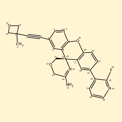 CC1(C#Cc2cnc3c(c2)[C@]2(COCC(N)=N2)c2cc(-c4cccnc4F)ccc2O3)COC1